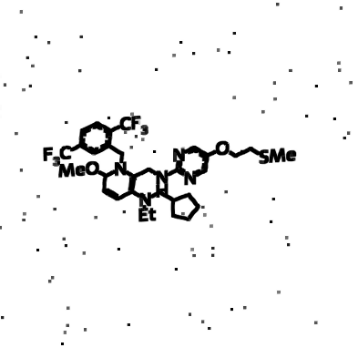 CCN(CC1CCCC1)C1=C(CNc2ncc(OCCSC)cn2)N(Cc2cc(C(F)(F)F)ccc2C(F)(F)F)C(OC)C=C1